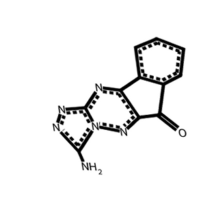 Nc1nnc2nc3c(nn12)C(=O)c1ccccc1-3